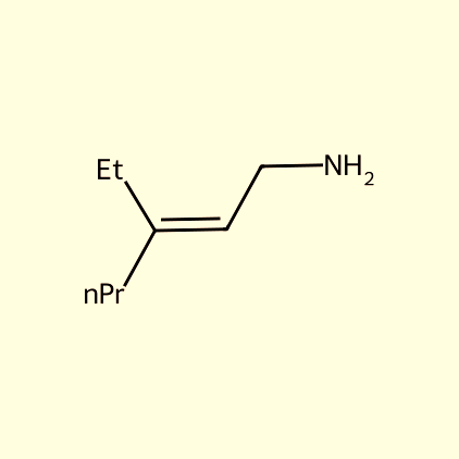 CCC/C(=C/CN)CC